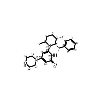 CC1CC[C@H](C)[C@H](Cc2ccccc2)N1c1cc(N2CCOCC2)cc(=O)[nH]1